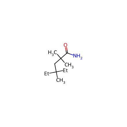 CCC(C)(CC)CC(C)(C)C(N)=O